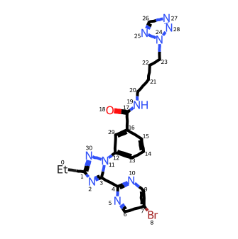 CCc1nc(-c2ncc(Br)cn2)n(-c2cccc(C(=O)NCCCCn3ncnn3)c2)n1